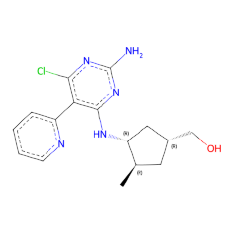 C[C@@H]1C[C@@H](CO)C[C@H]1Nc1nc(N)nc(Cl)c1-c1ccccn1